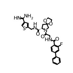 N=C(N)c1csc(CNC(=O)[C@@H]2CC3(CN2C(=O)CNC(=O)c2ccc(-c4ccccc4)cc2F)OCCO3)c1